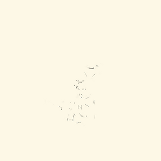 CC(C)(C)CN1CCC2(CC1)CN(c1ccccc1Nc1nnc(-c3ccc(C(F)(F)F)cc3)s1)c1c(O)ccc(Cl)c12